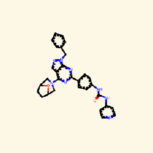 O=C(Nc1ccncc1)Nc1ccc(-c2nc(N3CC4CCC(C3)O4)c3cnn(Cc4ccccc4)c3n2)cc1